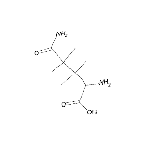 CC(C)(C(N)=O)C(C)(C)C(N)C(=O)O